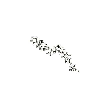 CS(=O)(=O)CCNCc1ccc(-c2cc3nccc(Oc4ccc(NC(=O)c5cnn(-c6ccccc6)c5C(F)(F)F)cc4F)c3s2)cc1